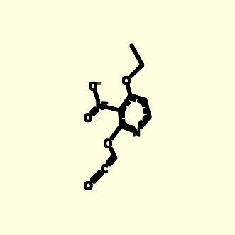 CCOc1ccnc(OC=C=O)c1[N+](=O)[O-]